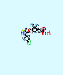 Cc1snc(-c2ccc(Cl)cc2)c1COc1ccc(CCC(=O)O)c(F)c1F